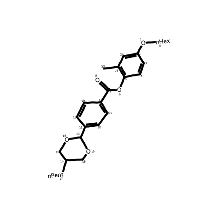 CCCCCCOc1ccc(OC(=O)c2ccc(C3OCC(CCCCC)CO3)cc2)c(C)c1